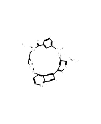 COc1ncc2cc1N[S+]([O-])c1cccc(c1)C(=O)N(C)CC1CCN(CC1)c1ccnc3ccc-2cc13